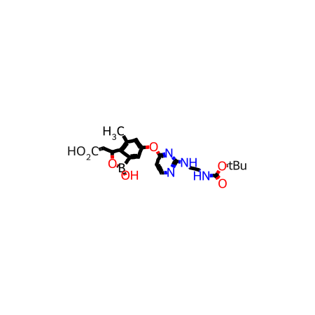 Cc1cc(Oc2ccnc(NCCNC(=O)OC(C)(C)C)n2)cc2c1C(CC(=O)O)OB2O